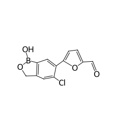 O=Cc1ccc(-c2cc3c(cc2Cl)COB3O)o1